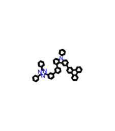 c1ccc(-c2nc(-c3ccccc3)nc(-c3cccc(-c4cccc(-c5cccc6c5c5cc(-c7ccc8c9ccccc9c9ccccc9c8c7)ccc5n6-c5ccccc5)c4)c3)n2)cc1